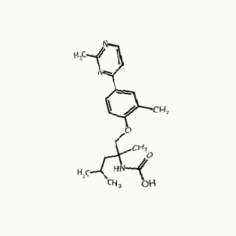 Cc1nccc(-c2ccc(OCC(C)(CC(C)C)NC(=O)O)c(C)c2)n1